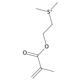 C=C(C)C(=O)OCC[S+](C)C